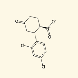 O=C1CC[C@@H]([N+](=O)[O-])[C@H](c2ccc(Cl)cc2Cl)C1